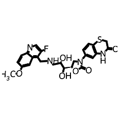 COc1ccc2ncc(F)c(CNC[C@@H](O)C(O)[C@H]3CN(c4ccc5c(c4)NC(=O)CS5)C(=O)O3)c2c1